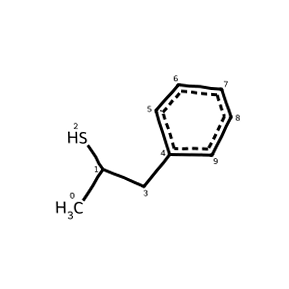 CC(S)Cc1[c]cccc1